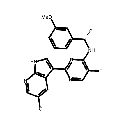 COc1cccc([C@H](C)Nc2nc(-c3c[nH]c4ncc(Cl)cc34)ncc2F)c1